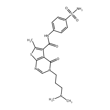 Cc1sc2ncn(CCCN(C)C)c(=O)c2c1C(=O)Nc1ccc(S(N)(=O)=O)cc1